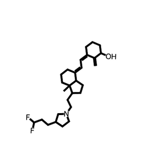 C=C1/C(=C\C=C2/CCCC3(C)C(CCN4CCC(CCC(F)F)C4)CCC23)CCCC1O